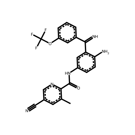 Cc1cc(C#N)cnc1C(=O)Nc1ccc(N)c(C(=N)c2cccc(OC(F)(F)F)c2)c1